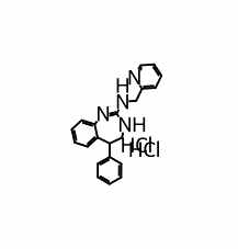 Cl.Cl.c1ccc(C2CNC(NCc3ccccn3)=Nc3ccccc32)cc1